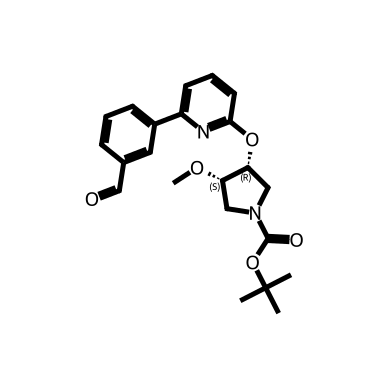 CO[C@H]1CN(C(=O)OC(C)(C)C)C[C@H]1Oc1cccc(-c2cccc(C=O)c2)n1